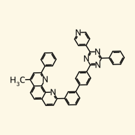 Cc1cc(-c2ccccc2)nc2c1ccc1ccc(-c3cccc(-c4ccc(-c5nc(-c6ccccc6)nc(-c6ccncc6)n5)cc4)c3)nc12